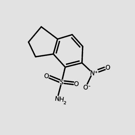 NS(=O)(=O)c1c([N+](=O)[O-])ccc2c1CCC2